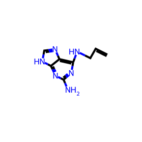 C=CCNc1nc(N)nc2[nH]cnc12